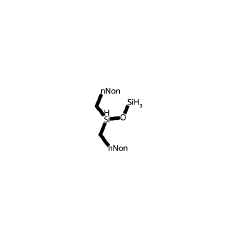 CCCCCCCCCC[SiH](CCCCCCCCCC)O[SiH3]